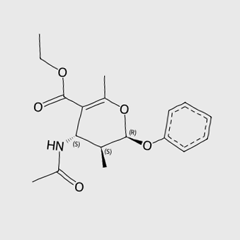 CCOC(=O)C1=C(C)O[C@@H](Oc2ccccc2)[C@@H](C)[C@@H]1NC(C)=O